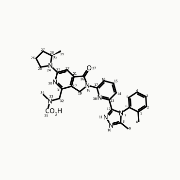 Cc1ccccc1-n1c(C)nnc1-c1cccc(N2Cc3c(cc(N4CCC[C@H]4C)nc3CN(C)C(=O)O)C2=O)n1